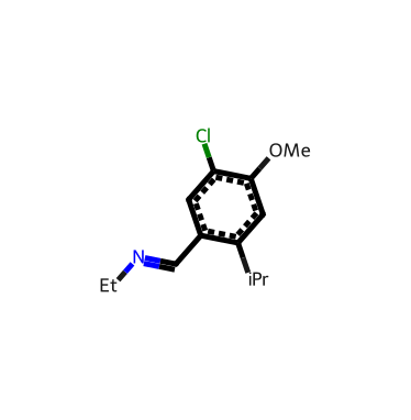 CC/N=C/c1cc(Cl)c(OC)cc1C(C)C